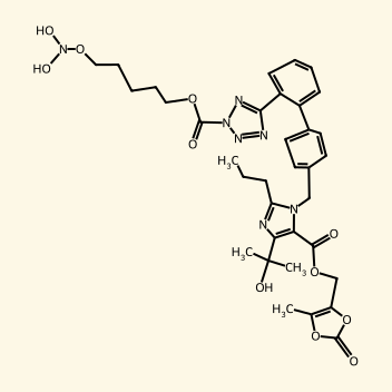 CCCc1nc(C(C)(C)O)c(C(=O)OCc2oc(=O)oc2C)n1Cc1ccc(-c2ccccc2-c2nnn(C(=O)OCCCCCON(O)O)n2)cc1